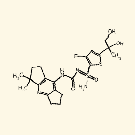 CC1(C)CCc2c1nc1c(c2NC(=O)N=[S@](N)(=O)c2sc(C(C)(O)CO)cc2F)CCC1